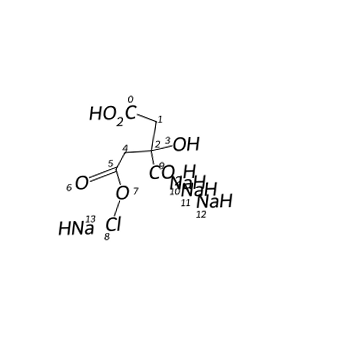 O=C(O)CC(O)(CC(=O)OCl)C(=O)O.[NaH].[NaH].[NaH].[NaH]